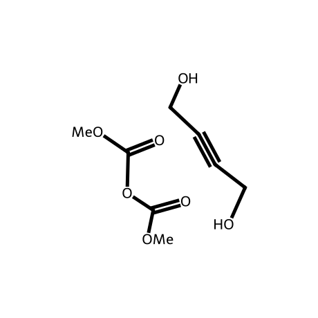 COC(=O)OC(=O)OC.OCC#CCO